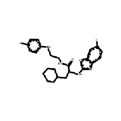 O=C(NCCNc1ccc(F)cc1)C(CC1CCCCC1)Nc1nc2ccc(Cl)cc2o1